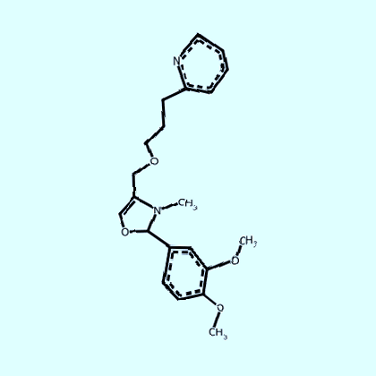 COc1ccc(C2OC=C(COCCCc3ccccn3)N2C)cc1OC